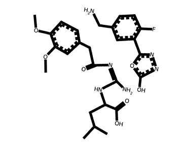 COc1ccc(CC(=O)N=C(N)NC(CC(C)C)C(=O)O)cc1OC.NCc1ccc(F)c(-c2nnc(O)o2)c1